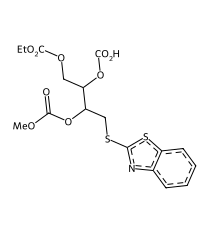 CCOC(=O)OCC(OC(=O)O)C(CSc1nc2ccccc2s1)OC(=O)OC